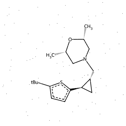 C[C@@H]1CN(C[C@@H]2C[C@H]2c2ccc(C(C)(C)C)s2)C[C@H](C)O1